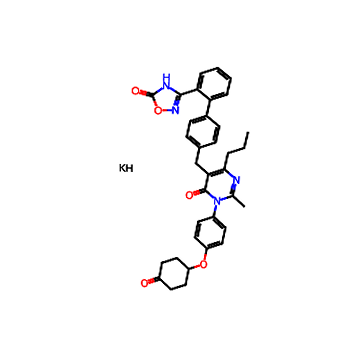 CCCc1nc(C)n(-c2ccc(OC3CCC(=O)CC3)cc2)c(=O)c1Cc1ccc(-c2ccccc2-c2noc(=O)[nH]2)cc1.[KH]